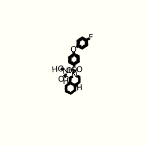 O=C(NO)[C@H]1[C@H]2CCCC[C@H]2CCN1S(=O)(=O)c1ccc(Oc2ccc(F)cc2)cc1